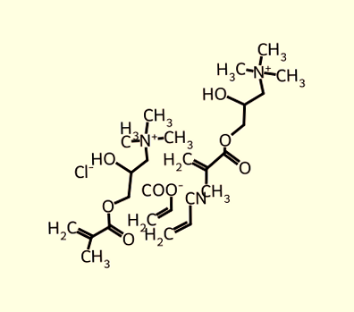 C=C(C)C(=O)OCC(O)C[N+](C)(C)C.C=C(C)C(=O)OCC(O)C[N+](C)(C)C.C=CC#N.C=CC(=O)[O-].[Cl-]